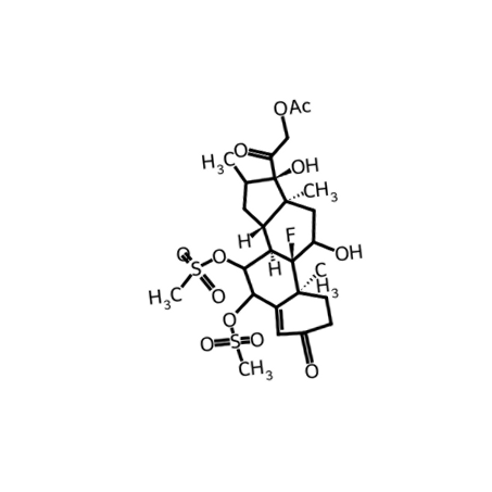 CC(=O)OCC(=O)[C@@]1(O)C(C)C[C@H]2[C@@H]3C(OS(C)(=O)=O)C(OS(C)(=O)=O)C4=CC(=O)CC[C@]4(C)[C@@]3(F)C(O)C[C@@]21C